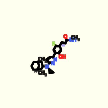 CNC(=O)/C=C/c1cc(O)c(-c2ccc(N(C3CC3)[C@H]3C[C@]4(C)CCC[C@](C)(C3)C4)nn2)cc1F